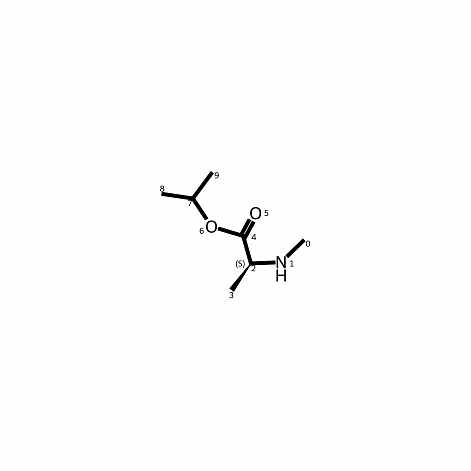 CN[C@@H](C)C(=O)OC(C)C